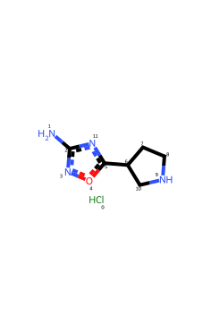 Cl.Nc1noc(C2CCNC2)n1